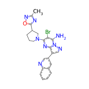 Cc1noc(C2CCCN(c3nc4c(-c5cnc6ccccc6c5)cnn4c(N)c3Br)C2)n1